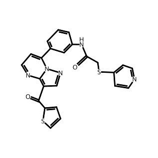 O=C(CSc1ccncc1)Nc1cccc(-c2ccnc3c(C(=O)c4cccs4)cnn23)c1